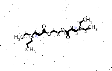 CCCN(/C=C/C(=O)OCCOC(=O)/C=C/N(CC)CC)CC